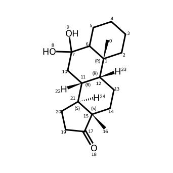 C[C@]12CCCCC1C(O)(O)C[C@@H]1[C@H]2CC[C@]2(C)C(=O)CC[C@@H]12